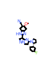 COc1cc2nc(-c3cnn4ccc(N5CCC[C@@H]5c5cccc(F)c5)nc34)[nH]c2cc1C#N